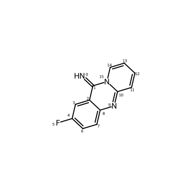 N=c1c2cc(F)ccc2nc2ccccn12